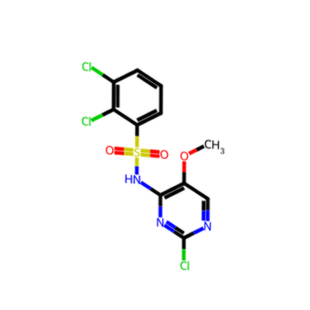 COc1cnc(Cl)nc1NS(=O)(=O)c1cccc(Cl)c1Cl